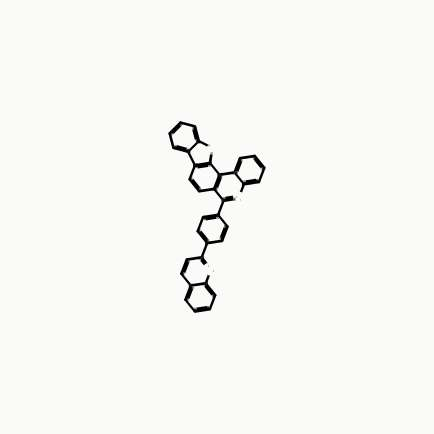 c1ccc2nc(-c3ccc(-c4nc5ccccc5c5c4ccc4c6ccccc6sc45)cc3)ccc2c1